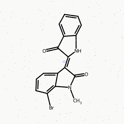 CN1C(=O)/C(=C2\Nc3ccccc3C2=O)c2cccc(Br)c21